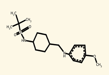 COc1ccc(NCC2CCC(NS(=O)(=O)C(C)(C)C)CC2)cc1